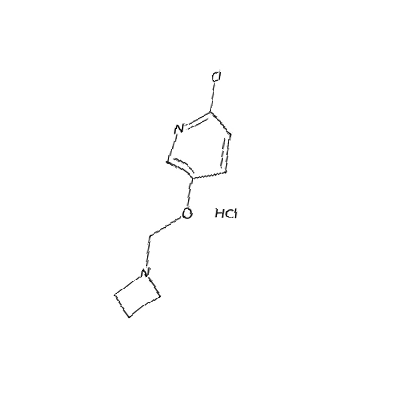 Cl.Clc1ccc(OCN2CCC2)cn1